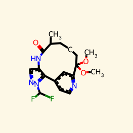 COC1(OC)CCCC(C)C(=O)Nc2cnn(C(F)F)c2-c2ccnc1c2